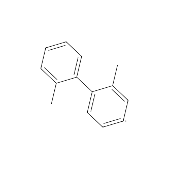 Cc1c[c]ccc1-c1ccccc1C